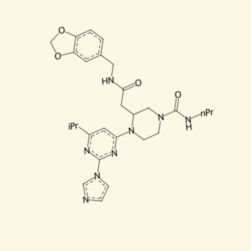 CCCNC(=O)N1CCN(c2cc(C(C)C)nc(-n3ccnc3)n2)C(CC(=O)NCc2ccc3c(c2)OCO3)C1